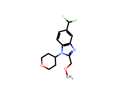 COCc1nc2cc(C(F)F)ccc2n1C1CCOCC1